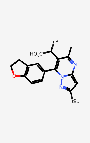 CCCC(C(=O)O)c1c(C)nc2cc(C(C)(C)C)nn2c1-c1ccc2c(c1)CCO2